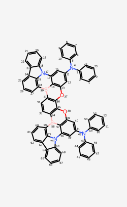 c1ccc(N(c2ccccc2)c2cc3c4c(c2)-n2c5ccccc5c5cccc(c52)B4c2ccc4c(c2O3)Oc2cc(N(c3ccccc3)c3ccccc3)cc3c2B4c2cccc4c5ccccc5n-3c24)cc1